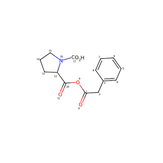 O=C(Cc1ccccc1)OC(=O)C1CCCN1C(=O)O